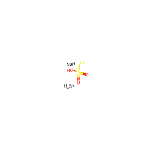 O=S(=O)(O)S.[NaH].[SnH4]